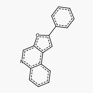 c1ccc(-c2cc3c(cnc4ccccc43)o2)cc1